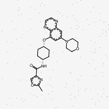 Cc1nc(C(=O)N[C@H]2CC[C@@H](Oc3cc(N4CCOCC4)cc4nccnc34)CC2)co1